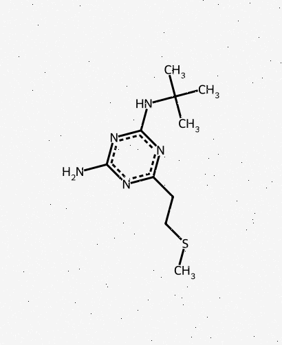 CSCCc1nc(N)nc(NC(C)(C)C)n1